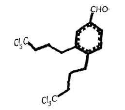 O=[C]c1ccc(CCCC(Cl)(Cl)Cl)c(CCCC(Cl)(Cl)Cl)c1